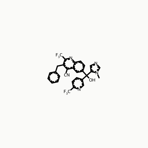 Cn1cncc1C(O)(c1ccc(C(F)(F)F)nc1)c1ccc2nc(C(F)(F)F)c(Cc3ccccc3)c(C#N)c2c1